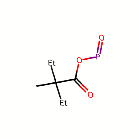 CCC(C)(CC)C(=O)OP=O